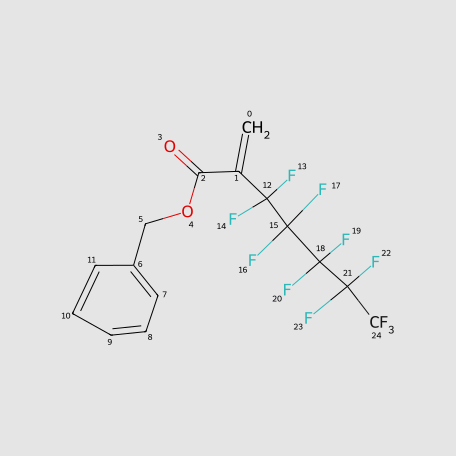 C=C(C(=O)OCc1ccccc1)C(F)(F)C(F)(F)C(F)(F)C(F)(F)C(F)(F)F